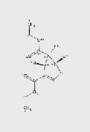 CCOC(=O)C1=CC[C@@H]2[C@H]1[C@@]2(F)C(=O)OCC